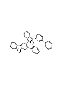 c1ccc(-c2cccc(-c3oc(-c4cc5c(cc4-c4ccccc4)oc4ccccc45)c4ccccc34)c2)cc1